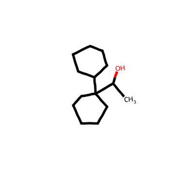 CC(O)C1(C2CCCCC2)CCCCC1